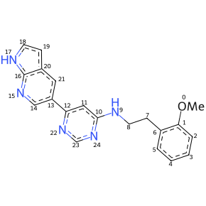 COc1ccccc1CCNc1cc(-c2cnc3[nH]ccc3c2)ncn1